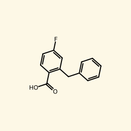 O=C(O)c1ccc(F)cc1Cc1ccccc1